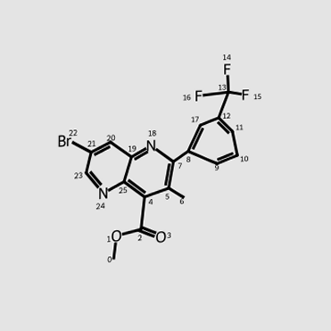 COC(=O)c1c(C)c(-c2cccc(C(F)(F)F)c2)nc2cc(Br)cnc12